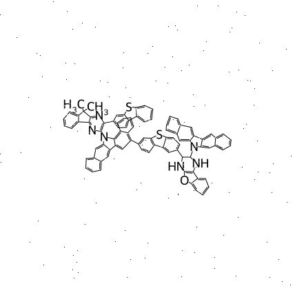 CC1(C)c2ccccc2-c2nc(-n3c4cc5ccccc5cc4c4cc(-c5ccc6c(c5)sc5ccc(C7Nc8oc9ccccc9c8NC7n7c8cc9ccccc9cc8c8cc9ccccc9cc87)cc56)c5ccccc5c43)c(-c3ccc4c(c3)sc3ccccc34)nc21